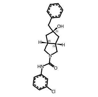 O=C(Nc1cccc(Cl)c1)N1C[C@@H]2C[C@](O)(Cc3ccccc3)C[C@@H]2C1